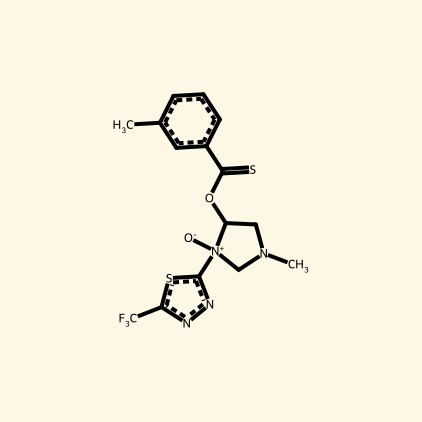 Cc1cccc(C(=S)OC2CN(C)C[N+]2([O-])c2nnc(C(F)(F)F)s2)c1